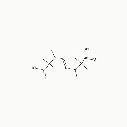 CC(N=NC(C)C(C)(C)C(=O)O)C(C)(C)C(=O)O